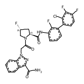 NC(=O)c1nn(CC(=O)N2C[C@H](F)C[C@H]2C(=O)Nc2cccc(-c3ccc(F)c(F)c3Cl)c2F)c2ccccc12